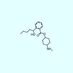 CCCCC(O)c1ccccc1C(=O)OC1CCC(N)CC1